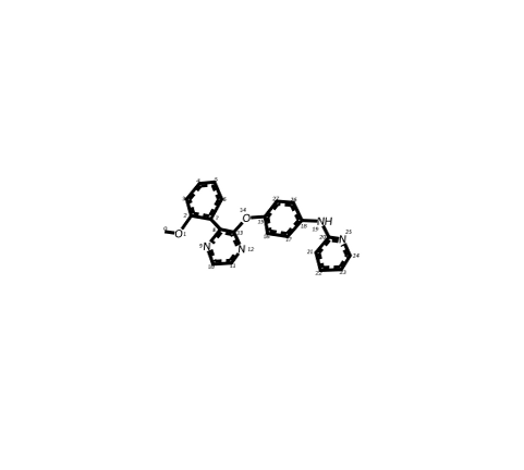 COc1ccccc1-c1nccnc1Oc1ccc(Nc2ccccn2)cc1